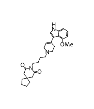 COc1cccc2[nH]cc(C3=CCN(CCCCN4C(=O)CC5(CCCC5)CC4=O)CC3)c12